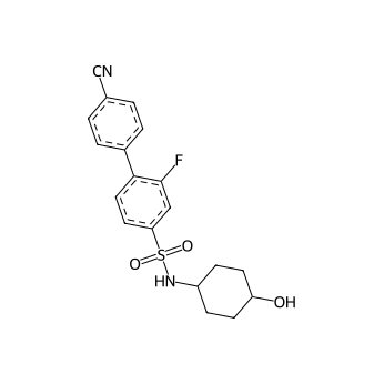 N#Cc1ccc(-c2ccc(S(=O)(=O)NC3CCC(O)CC3)cc2F)cc1